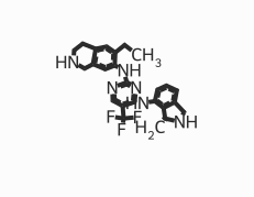 C=C1NCc2cccc(Nc3nc(Nc4cc5c(cc4CC)CCNC5)ncc3C(F)(F)F)c21